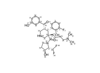 Cc1c(F)cccc1[C@H]1[C@@H](C(=O)c2cccc(O)c2)CNC[C@@]1(CCCCN(C)C)C(=O)N1CC[C@H](O)[C@H]1C(F)F